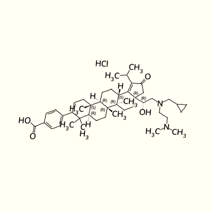 CC(C)C1=C2[C@H]3CC[C@@H]4[C@@]5(C)CC=C(c6ccc(C(=O)O)cc6)C(C)(C)[C@@H]5CC[C@@]4(C)[C@]3(C)CC[C@@]2([C@@H](O)CN(CCN(C)C)CC2CC2)CC1=O.Cl